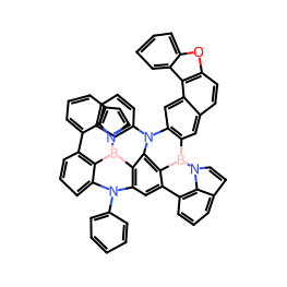 c1ccc(N2c3cccc4c3B(c3c2cc2c5c3N(c3ccccc3)c3cc6c(ccc7oc8ccccc8c76)cc3B5n3ccc5cccc-2c53)n2ccc3cccc-4c32)cc1